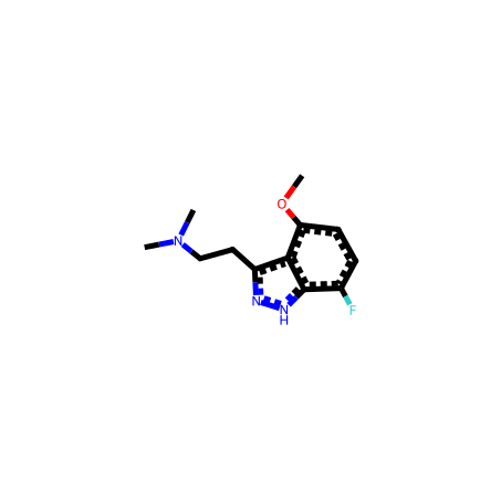 COc1ccc(F)c2[nH]nc(CCN(C)C)c12